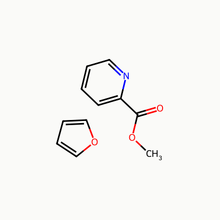 COC(=O)c1ccccn1.c1ccoc1